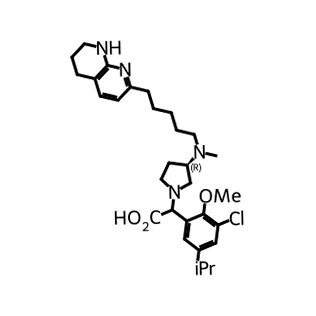 COc1c(Cl)cc(C(C)C)cc1C(C(=O)O)N1CC[C@@H](N(C)CCCCCc2ccc3c(n2)NCCC3)C1